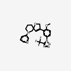 COc1ccc(-n2nnnc2C(F)(F)F)cc1C1=CC2(CCCN(c3cccnc3)C2)OC1